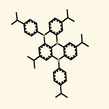 CC(C)c1ccc(N2c3ccc(C(C)C)cc3B3c4cc(C(C)C)ccc4N(c4ccc(C(C)C)cc4)c4cc(C(C)C)cc2c43)cc1